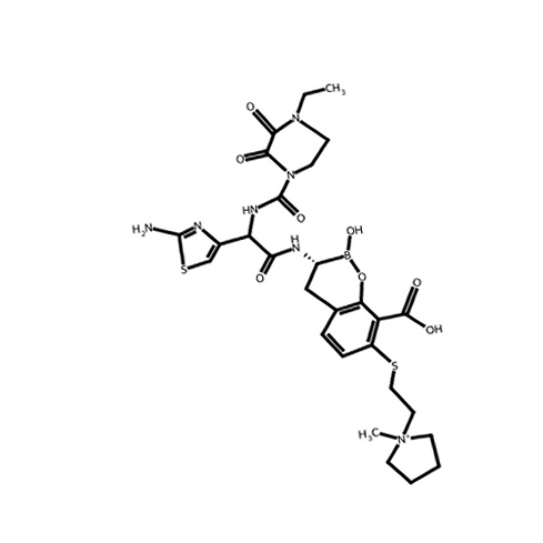 CCN1CCN(C(=O)NC(C(=O)N[C@H]2Cc3ccc(SCC[N+]4(C)CCCC4)c(C(=O)O)c3OB2O)c2csc(N)n2)C(=O)C1=O